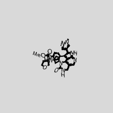 COC(=O)N[C@@H]1CC[C@@H](N2C(=O)NCc3cnc4[nH]c(-c5cnn(C)c5)c(-c5ccc(OC6CCOC6)cc5)c4c32)C1